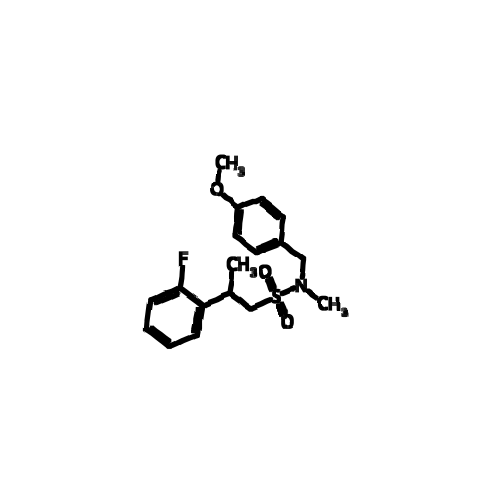 COc1ccc(CN(C)S(=O)(=O)CC(C)c2ccccc2F)cc1